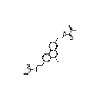 C=CC(=O)OCCc1ccc2c(c1)c(F)cc1cc(CCOC(=O)C(=C)C)ccc12